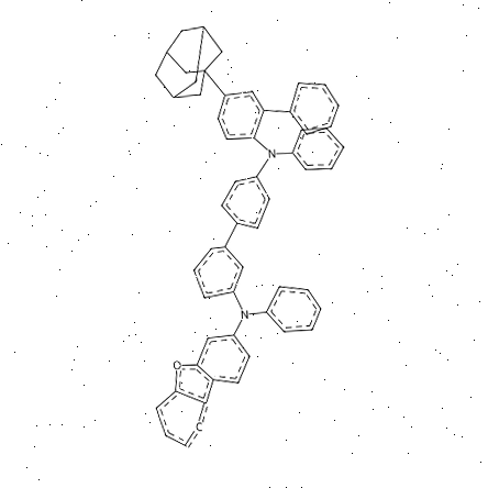 c1ccc(-c2cc(C34CC5CC(CC(C5)C3)C4)ccc2N(c2ccccc2)c2ccc(-c3cccc(N(c4ccccc4)c4ccc5c(c4)oc4ccccc45)c3)cc2)cc1